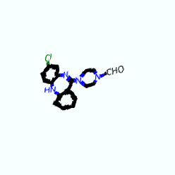 O=CN1CCN(C2=Nc3cc(Cl)ccc3Nc3ccccc32)CC1